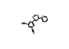 N#Cc1cc(C#N)cc(-c2cc(-c3ccccn3)ncn2)c1